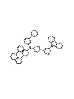 c1ccc(-c2cccc(N(c3ccc(-c4cccc(-n5c6ccccc6c6ccccc65)c4)cc3)c3ccc(-c4cccc5cccc(-c6ccccc6)c45)cc3)c2)cc1